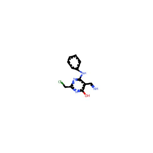 N=Cc1c(O)nc(CCl)nc1Nc1ccccc1